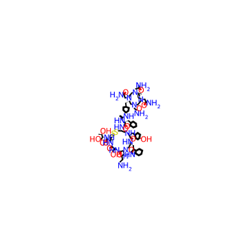 C=C(Nc1ccc(C[C@H]2CN(CC(N)=O)CCN(CC(N)=O)CCN(CC(N)=O)CCN2CC(N)=O)cc1)N[C@H](Cc1ccccc1)C(=O)N[C@H]1CSSC[C@@H](C(=O)N[C@H](C(=O)O)[C@@H](C)O)NC(=O)[C@H]([C@@H](C)O)NC(=O)[C@H](CCCCN)NC(=O)[C@@H](Cc2c[nH]c3ccccc23)NC(=O)[C@H](Cc2ccc(O)cc2)NC1=O